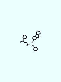 C=C(CC/C(=C\C)c1ccccc1)c1nc(-c2ccccc2)nc(-c2ccc3c(c2)C(C)(C)c2ccccc2-3)n1